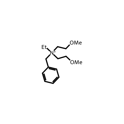 CC[N+](CCOC)(CCOC)Cc1ccccc1